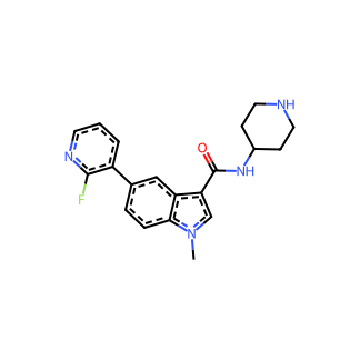 Cn1cc(C(=O)NC2CCNCC2)c2cc(-c3cccnc3F)ccc21